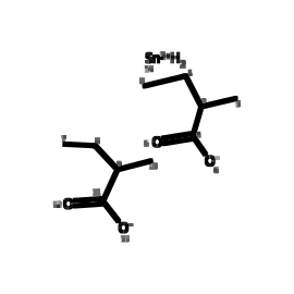 CCC(C)C(=O)[O-].CCC(C)C(=O)[O-].[SnH2+2]